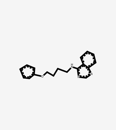 c1ccc(OCCCCNc2ncnc3ccccc23)cc1